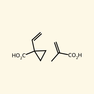 C=C(C)C(=O)O.C=CC1(C(=O)O)CC1